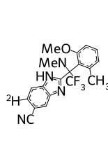 [2H]c1cc2[nH]c(C(NC)(c3c(C)cccc3OC)C(F)(F)F)nc2cc1C#N